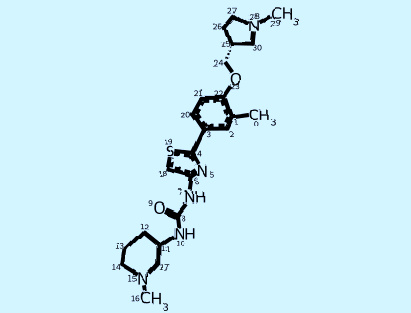 Cc1cc(-c2nc(NC(=O)NC3CCCN(C)C3)cs2)ccc1OC[C@@H]1CCN(C)C1